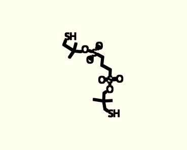 CC(C)(CS)COS(=O)(=O)CCCS(=O)(=O)OCC(C)(C)CS